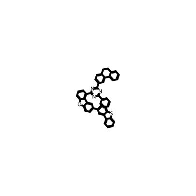 c1ccc(-c2nc(-c3ccc4c(c3)-c3ccccc3CC4)nc(-c3cccc4oc5ccc(-c6ccc7sc8ccccc8c7c6)cc5c34)n2)cc1